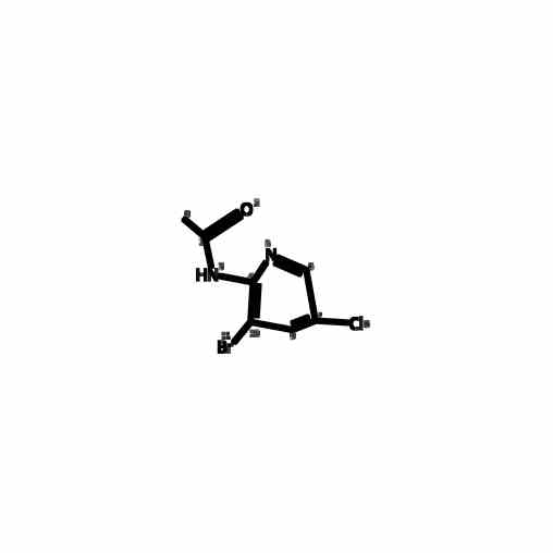 CC(=O)Nc1ncc(Cl)cc1Br